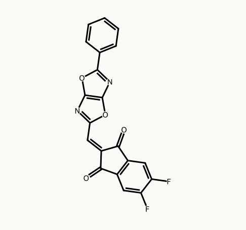 O=C1C(=Cc2nc3oc(-c4ccccc4)nc3o2)C(=O)c2cc(F)c(F)cc21